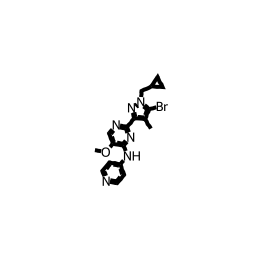 COc1cnc(-c2nn(CC3CC3)c(Br)c2C)nc1Nc1ccncc1